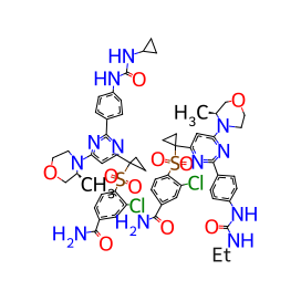 CCNC(=O)Nc1ccc(-c2nc(N3CCOC[C@@H]3C)cc(C3(S(=O)(=O)c4ccc(C(N)=O)cc4Cl)CC3)n2)cc1.C[C@H]1COCCN1c1cc(C2(S(=O)(=O)c3ccc(C(N)=O)cc3Cl)CC2)nc(-c2ccc(NC(=O)NC3CC3)cc2)n1